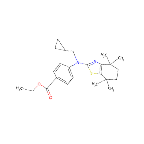 CCOC(=O)c1ccc(N(CC2CC2)c2nc3c(s2)C(C)(C)CCC3(C)C)cc1